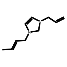 C=CCN1C=CN(CC=CC)C1